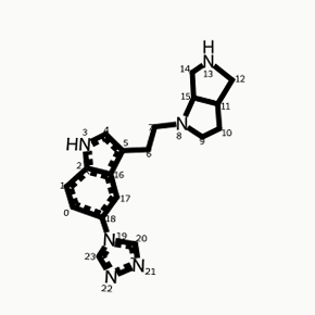 c1cc2[nH]cc(CCN3CCC4CNCC43)c2cc1-n1cnnc1